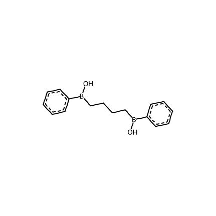 OB(CCCCB(O)c1ccccc1)c1ccccc1